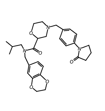 CC(C)CN(Cc1ccc2c(c1)OCCO2)C(=O)C1CN(Cc2ccc(N3CCCC3=O)cc2)CCO1